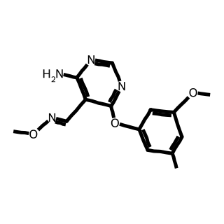 CON=Cc1c(N)ncnc1Oc1cc(C)cc(OC)c1